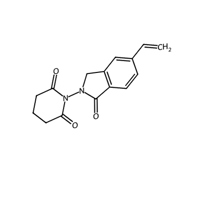 C=Cc1ccc2c(c1)CN(N1C(=O)CCCC1=O)C2=O